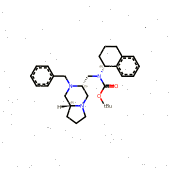 CC(C)(C)OC(=O)N(C[C@@H]1CN2CCC[C@@H]2CN1Cc1ccccc1)[C@@H]1CCCc2ccccc21